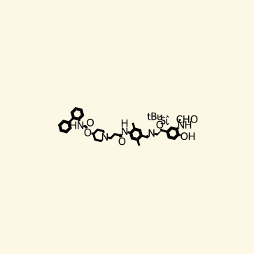 Cc1cc(NC(=O)CCN2CCC(OC(=O)Nc3ccccc3-c3ccccc3)CC2)c(C)cc1C=NC[C@@H](O[Si](C)(C)C(C)(C)C)c1ccc(O)c(NC=O)c1